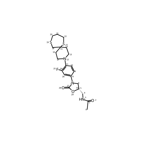 CC(=O)NC[C@H]1CN(c2ccc(N3CCC4(CC3)CSCCCS4)c(F)c2)C(=O)O1